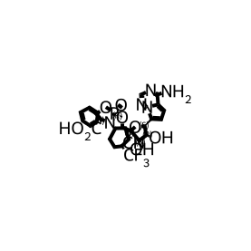 C[C@@H](C(=O)O)N([C@H]1CC[C@H](C(F)(F)F)CC1)[P@@](=O)(OC[C@@]1(C#N)O[C@@H](c2ccc3c(N)ncnn23)[C@H](O)[C@@H]1O)Oc1ccccc1